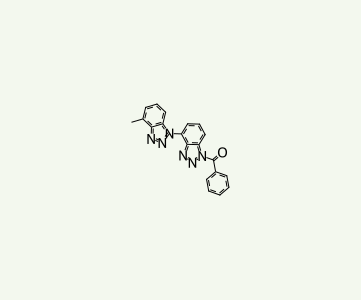 Cc1cccc2c1nnn2-c1cccc2c1nnn2C(=O)c1ccccc1